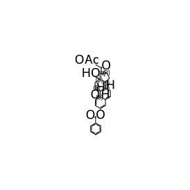 CC(=O)OCC(=O)[C@@]1(O)[C@H](C)C[C@H]2[C@@H]3CC=C4C=C(OC(=O)c5ccccc5)C=C[C@]4(C)C34O[C@H]4C[C@@]21C